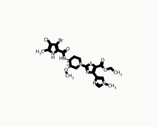 CCOC(=O)c1sc(N2CC[C@@H](NC(=O)c3[nH]c(C)c(Cl)c3Br)[C@@H](OC)C2)nc1-c1cn(C)cn1